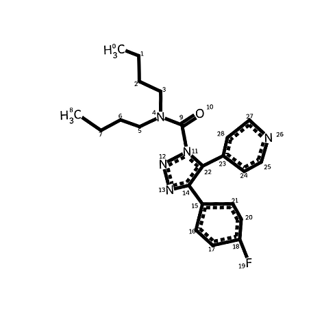 CCCCN(CCCC)C(=O)n1nnc(-c2ccc(F)cc2)c1-c1ccncc1